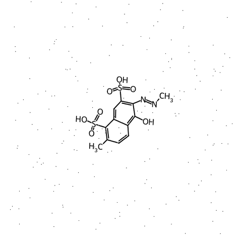 CN=Nc1c(S(=O)(=O)O)cc2c(S(=O)(=O)O)c(C)ccc2c1O